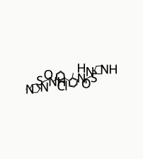 Cc1c(NC(=O)c2nc3c(s2)CNCC3)cccc1-c1cccc(NC(=O)c2nc3c(s2)CN(C)CC3)c1Cl